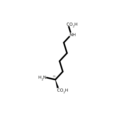 N[C@@H](CCCCNC(=O)O)C(=O)O